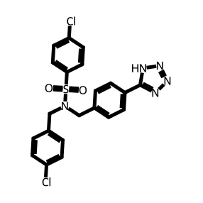 O=S(=O)(c1ccc(Cl)cc1)N(Cc1ccc(Cl)cc1)Cc1ccc(-c2nnn[nH]2)cc1